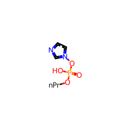 CCCOP(=O)(O)On1ccnc1